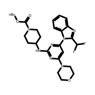 CCCCOC(=O)N1CCC(Nc2nc(N3CCOCC3)cc(-n3c(C(F)F)nc4ccccc43)n2)CC1